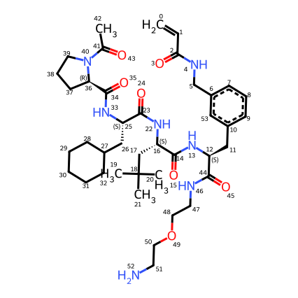 C=CC(=O)NCc1cccc(C[C@H](NC(=O)[C@H](CC(C)(C)C)NC(=O)[C@H](CC2CCCCC2)NC(=O)[C@H]2CCCN2C(C)=O)C(=O)NCCOCCN)c1